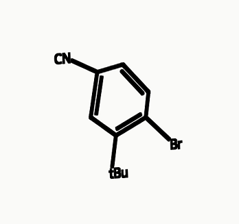 [C-]#[N+]c1ccc(Br)c(C(C)(C)C)c1